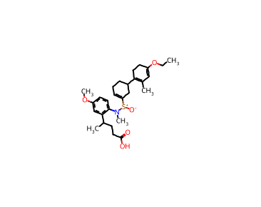 CCOC1=CC(C)=C(C2CCC=C([S+]([O-])N(C)c3ccc(OC)cc3C(C)CCC(=O)O)C2)CC1